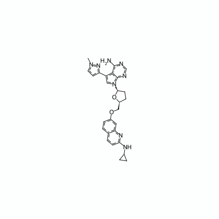 Cn1ccc(-c2cn([C@H]3CC[C@@H](COc4ccc5ccc(NC6CC6)nc5c4)O3)c3ncnc(N)c23)n1